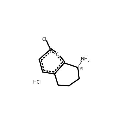 Cl.N[C@@H]1CCCc2ccc(Cl)cc21